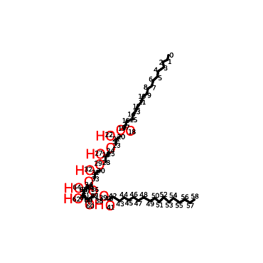 CCCCCCCCCCCCCCCCCC(=O)OCC(O)COCC(O)COCC(O)CO[C@H]1O[C@H](COC(=O)CCCCCCCCCCCCCCCCC)[C@@H](O)[C@H](O)[C@H]1O